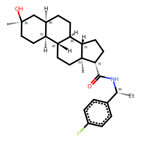 CC[C@@H](NC(=O)[C@H]1CC[C@H]2[C@@H]3CC[C@@H]4C[C@](C)(O)CC[C@@H]4[C@H]3CC[C@]12C)c1ccc(F)cc1